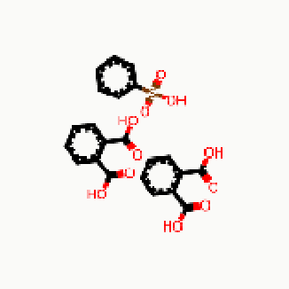 O=C(O)c1ccccc1C(=O)O.O=C(O)c1ccccc1C(=O)O.O=S(=O)(O)c1ccccc1